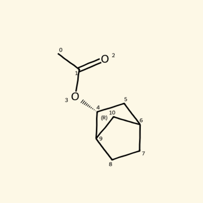 CC(=O)O[C@@H]1CC2CCC1C2